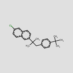 CC(C)(C)c1ccc(CC(C)(C)c2ccc3cc(Cl)ccc3c2)cc1